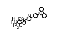 C=C1OB(c2ccc(-c3ccc(-n4c5ccccc5c5ccccc54)cc3)nc2)OC1(C)C